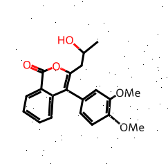 COc1ccc(-c2c(CC(C)O)oc(=O)c3ccccc23)cc1OC